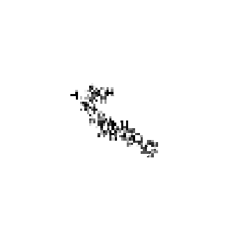 CC(NC(=O)O)C(=O)N1CCC(c2ccc3nc(-c4ccc(OCc5ccccc5)cc4)[nH]c3n2)CC1